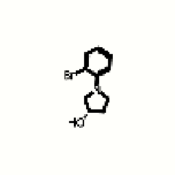 O[C@H]1CCN(c2ccccc2Br)C1